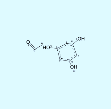 C[C]=O.Oc1cc(O)cc(O)c1